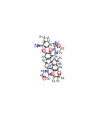 CC1Cc2c(C#N)c3c(c(C#N)c21)Oc1cc2c(c(CN4CCOCC4)c1O3)C1(CC2(C)C)CC(C)(C)c2cc3c(c(CN4CCOCC4)c21)OC(C)C(C)(C)O3